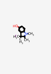 CC1=[N+](C)c2ccc(O)cc2C1(C)C.[I-]